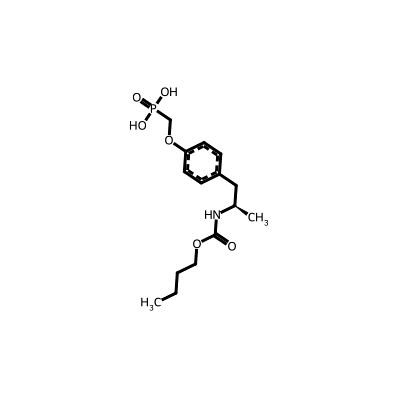 CCCCOC(=O)N[C@H](C)Cc1ccc(OCP(=O)(O)O)cc1